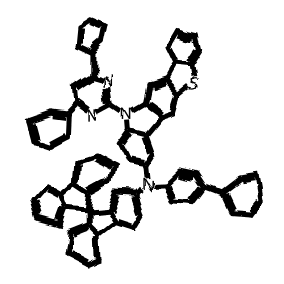 c1ccc(-c2ccc(N(c3ccc4c(c3)C3(c5ccccc5-c5ccccc53)c3ccccc3-4)c3ccc4c(c3)c3cc5sc6ccccc6c5cc3n4-c3nc(-c4ccccc4)cc(-c4ccccc4)n3)cc2)cc1